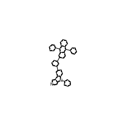 c1ccc(-c2c3ccccc3c(-c3ccccc3)c3cc(-c4cccc(-c5ccc6c(c5)c5cnccc5n6-c5ccccc5)c4)ccc23)cc1